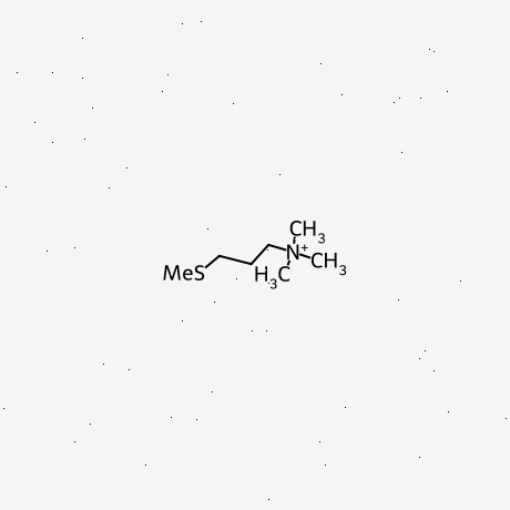 CSCCC[N+](C)(C)C